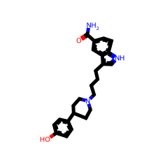 NC(=O)c1ccc2[nH]cc(CCCCN3CCC(c4ccc(O)cc4)CC3)c2c1